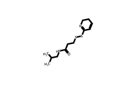 CC(C)CNC(=O)CCSSC1=NCCC=C1